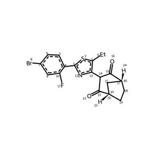 CCc1sc(-c2ccc(Br)cc2F)nc1C1C(=O)[C@@H]2CC[C@@H](C2)C1=O